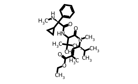 CCOC(=O)/C(C)=C/[C@H](C(C)C)N(C)C(=O)C(NC(=O)[C@@](NC)(c1ccccc1)C1CC1)C(C)(C)C